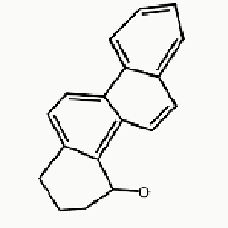 [O]C1CCCc2ccc3c(ccc4ccccc43)c21